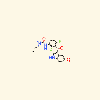 CCCCN(C)C(=O)Nc1ccc(F)c(C(=O)c2c[nH]c3ccc(OC)cc23)c1F